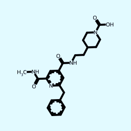 CNC(=O)c1cc(C(=O)NCCC2CCN(C(=O)O)CC2)cc(Cc2ccccc2)n1